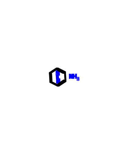 N.c1cc2ccc1nn2